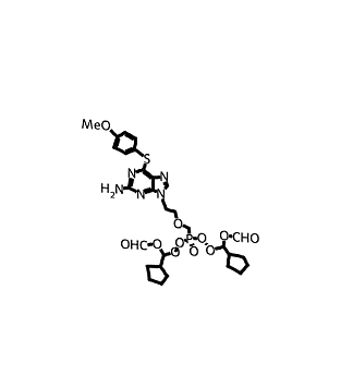 COc1ccc(Sc2nc(N)nc3c2ncn3CCOCP(=O)(OOC(OC=O)C2CCCC2)OOC(OC=O)C2CCCC2)cc1